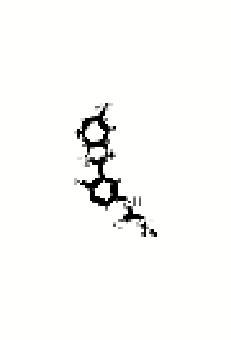 CC(C)(C)NC(=O)Nc1ccc(F)c(-c2nc3cc(Br)cnc3[nH]2)c1